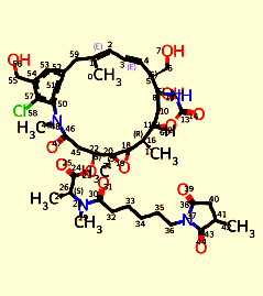 C/C1=C\C=C\[C@@H](CO)[C@@]2(O)C[C@H](OC(=O)N2)[C@@H](C)C2O[C@@]2(C)[C@@H](OC(=O)[C@H](C)N(C)C(=O)CCCCCN2C(=O)CC(C)C2=O)CC(=O)N(C)c2cc(cc(CO)c2Cl)C1